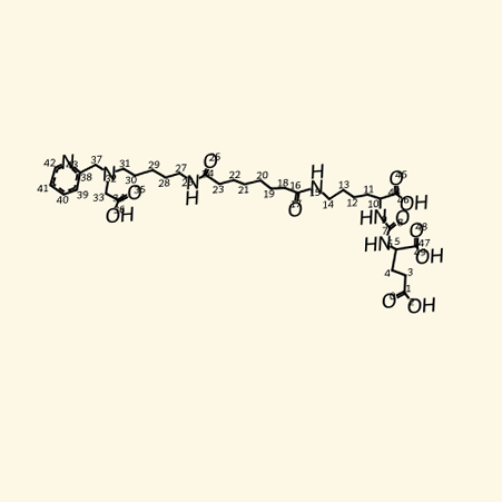 O=C(O)CCC(NC(=O)NC(CCCCNC(=O)CCCCCCC(=O)NCCCCCN(CC(=O)O)Cc1ccccn1)C(=O)O)C(=O)O